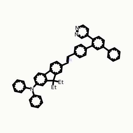 CCC1(CC)c2cc(/C=C/c3ccc(-c4cc(-c5ccccc5)ccc4-c4ccnnc4)cc3)ccc2-c2ccc(N(c3ccccc3)c3ccccc3)cc21